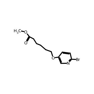 COC(=O)CCCCCOc1ccc(Br)nc1